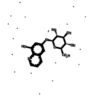 O=C(O)[C@H]1O[C@@H](Oc2cc(O)c3ncccc3c2)[C@H](O)[C@@H](O)[C@@H]1O